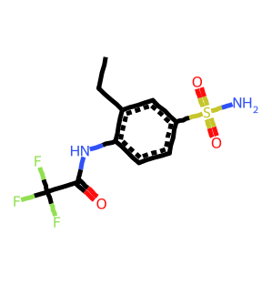 CCc1cc(S(N)(=O)=O)ccc1NC(=O)C(F)(F)F